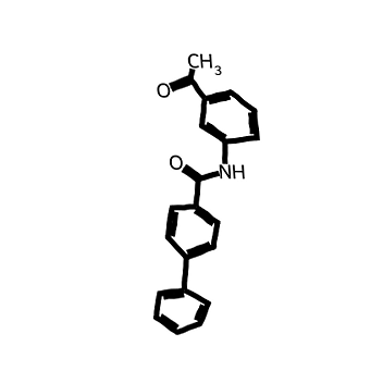 CC(=O)c1cccc(NC(=O)c2ccc(-c3ccccc3)cc2)c1